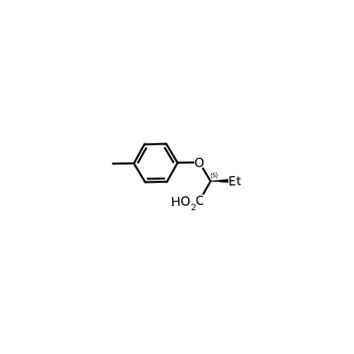 CC[C@H](Oc1ccc(C)cc1)C(=O)O